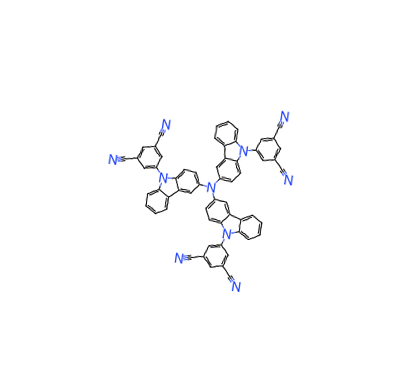 N#Cc1cc(C#N)cc(-n2c3ccccc3c3cc(N(c4ccc5c(c4)c4ccccc4n5-c4cc(C#N)cc(C#N)c4)c4ccc5c(c4)c4ccccc4n5-c4cc(C#N)cc(C#N)c4)ccc32)c1